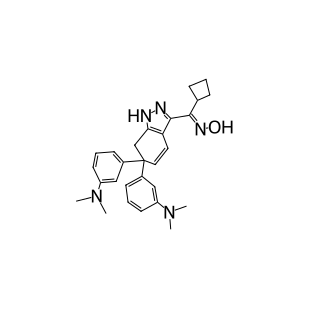 CN(C)c1cccc(C2(c3cccc(N(C)C)c3)C=Cc3c(C(=NO)C4CCC4)n[nH]c3C2)c1